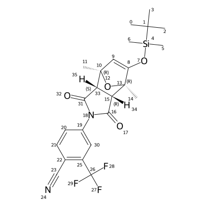 CC(C)(C)[Si](C)(C)OC1=C[C@@]2(C)O[C@]1(C)[C@@H]1C(=O)N(c3ccc(C#N)c(C(F)(F)F)c3)C(=O)[C@@H]12